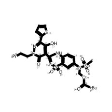 CC(C)CCn1nc(-c2cccs2)c(O)c(C2=NS(=O)(=O)c3cc(N(COC(=O)C(C)(C)C)S(C)(=O)=O)ccc3N2)c1=O